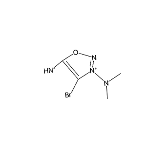 CN(C)[n+]1noc([NH-])c1Br